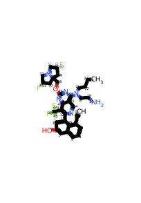 C#Cc1cccc2cc(O)cc(-c3ncc4c(N(CCN)CCCC)nc(OCC56C[C@@H](F)CN5C[C@H](F)C6)nc4c3C(F)(F)F)c12